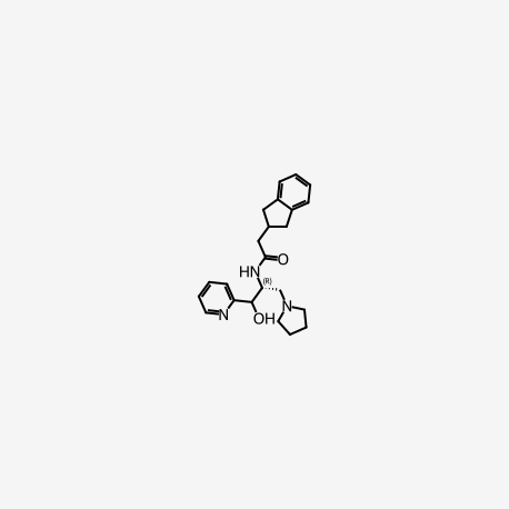 O=C(CC1Cc2ccccc2C1)N[C@H](CN1CCCC1)C(O)c1ccccn1